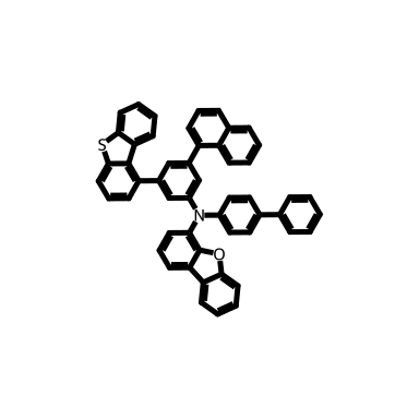 c1ccc(-c2ccc(N(c3cc(-c4cccc5ccccc45)cc(-c4cccc5sc6ccccc6c45)c3)c3cccc4c3oc3ccccc34)cc2)cc1